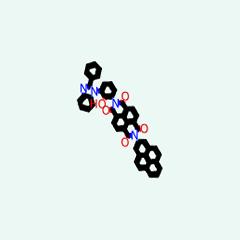 O=C1c2ccc3c4c(ccc(c24)C(=O)N1c1cc2ccc4cccc5ccc(c1)c2c45)C(=O)N(c1cccc(-n2c(-c4ccccc4)nc4ccccc42)c1O)C3=O